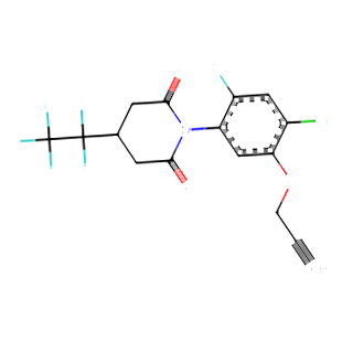 C#CCOc1cc(N2C(=O)CC(C(F)(F)C(F)(F)F)CC2=O)c(F)cc1Cl